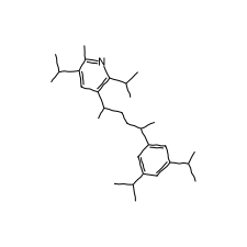 Cc1nc(C(C)C)c(C(C)CCC(C)c2cc(C(C)C)cc(C(C)C)c2)cc1C(C)C